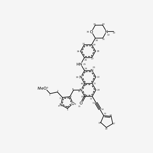 COCCc1ncoc1Cn1c(=O)c(C#CC2=CCCC2)cc2cnc(Nc3ccc(C4CN(C)CCO4)cc3)nc21